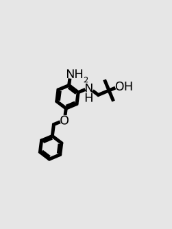 CC(C)(O)CNc1cc(OCc2ccccc2)ccc1N